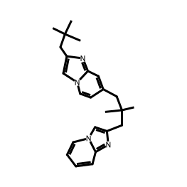 CC(C)(C)Cc1cn2ccc(CC(C)(C)Cc3cn4ccccc4n3)cc2n1